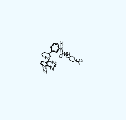 CC(=O)N1CCC(CNC(=O)Nc2cccc(C3CCCN(c4ncnc5[nH]ccc45)C3)c2)CC1